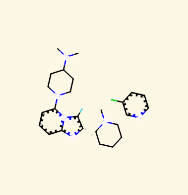 CN(C)C1CCN(c2cccc3nc([C@H]4CCC[C@@H](c5ncccc5Cl)N4C)c(F)n23)CC1